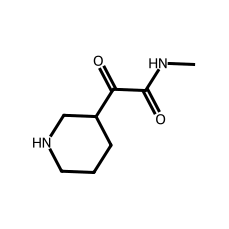 CNC(=O)C(=O)C1CCCNC1